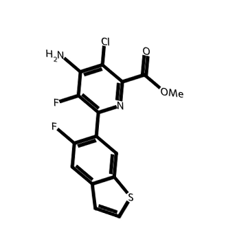 COC(=O)c1nc(-c2cc3sccc3cc2F)c(F)c(N)c1Cl